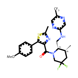 COc1ccc(-c2sc(C)nc2C(=O)N2CC(F)(F)C[C@@H](C)[C@H]2CNc2cnc(C(F)(F)F)cn2)cc1